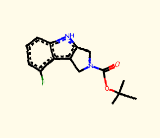 CC(C)(C)OC(=O)N1Cc2[nH]c3cccc(F)c3c2C1